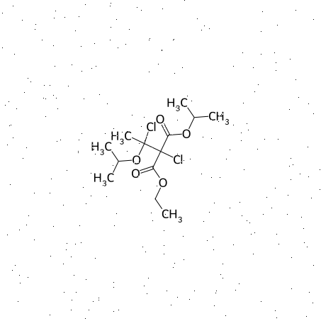 CCOC(=O)C(Cl)(C(=O)OC(C)C)C(C)(Cl)OC(C)C